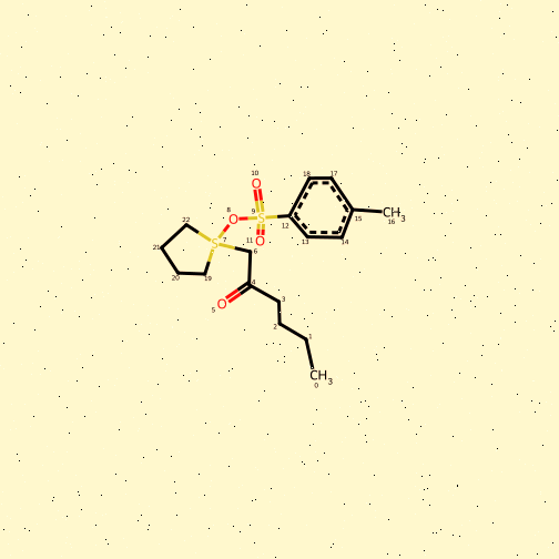 CCCCC(=O)CS1(OS(=O)(=O)c2ccc(C)cc2)CCCC1